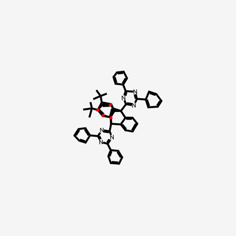 CC(C)(C)c1ccc2c(c1)C1(c3nc(-c4ccccc4)nc(-c4ccccc4)n3)c3ccccc3C2(c2nc(-c3ccccc3)nc(-c3ccccc3)n2)c2cc(C(C)(C)C)ccc21